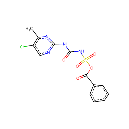 Cc1nc(NC(=O)NS(=O)(=O)OC(=O)c2ccccc2)ncc1Cl